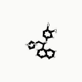 Clc1ccc(SC(Cn2ccnc2)c2cccc3ccccc23)cc1Cl